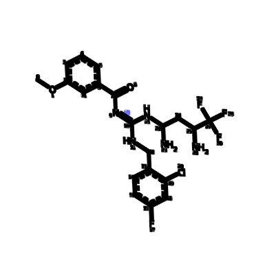 COc1cccc(C(=O)/N=C(/NCc2ccc(F)cc2Cl)NC(N)CC(N)C(F)(F)F)c1